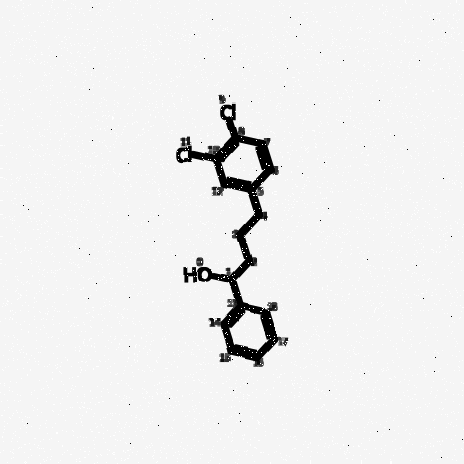 OC(CCCc1ccc(Cl)c(Cl)c1)c1ccccc1